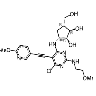 COCCNc1nc(Cl)c(C#Cc2ccc(OC)nc2)c(N[C@@H]2C[C@H](CO)[C@@H](O)[C@H]2O)n1